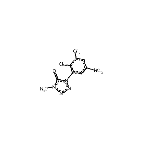 Cn1nnn(-c2cc([N+](=O)[O-])cc(C(F)(F)F)c2Cl)c1=O